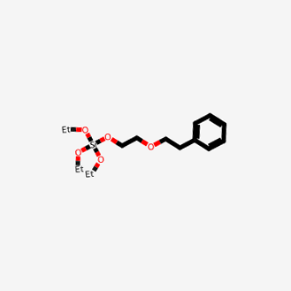 CCO[Si](OCC)(OCC)OCCOCCc1ccccc1